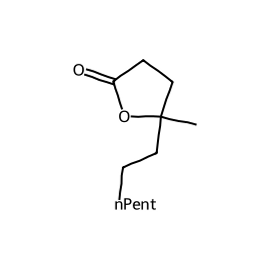 CCCCCCCC1(C)CCC(=O)O1